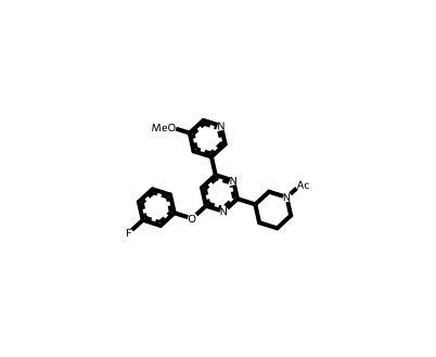 COc1cncc(-c2cc(Oc3cccc(F)c3)nc(C3CCCN(C(C)=O)C3)n2)c1